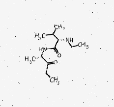 CCN[C@H](C(=O)N[C@@H](C)C(=O)CC)C(C)C